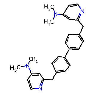 CN(C)c1ccnc(Cc2ccc(-c3ccc(Cc4cc(N(C)C)ccn4)cc3)cc2)c1